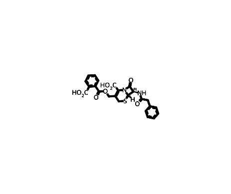 O=C(Cc1ccccc1)N[C@@H]1C(=O)N2C(C(=O)O)=C(COC(=O)c3ccccc3C(=O)O)CS[C@@H]12